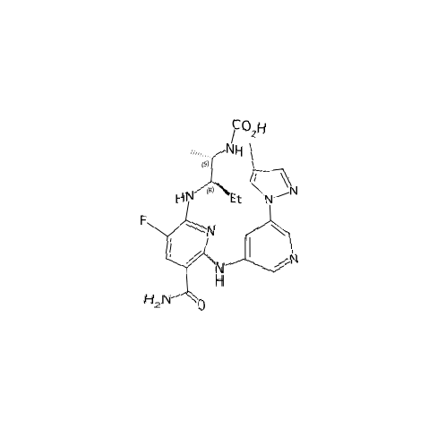 CC[C@@H](Nc1nc(Nc2cncc(-n3cc(C)cn3)c2)c(C(N)=O)cc1F)[C@H](C)NC(=O)O